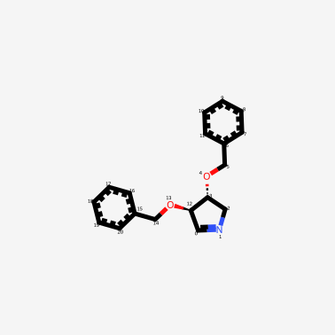 C1=NC[C@@H](OCc2ccccc2)[C@@H]1OCc1ccccc1